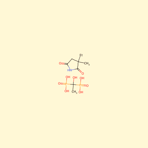 CC(O)(P(=O)(O)O)P(=O)(O)O.CCC1(C)CC(=O)NC1=O